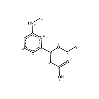 CCOC(CC(=O)O)c1cccc(NC)n1